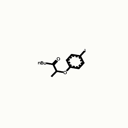 CCCCC(=O)C(C)Oc1ccc(I)cc1